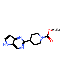 CC(C)(C)OC(=O)N1CCC(c2ncc3[nH]ccc3n2)CC1